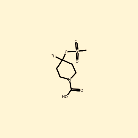 [2H]C1(OS(C)(=O)=O)CCN(C(=O)O)CC1